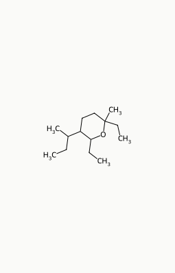 CCC(C)C1CCC(C)(CC)OC1CC